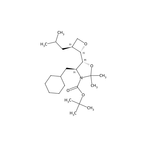 CC(C)C[C@H]1CO[C@@H]1[C@@H]1OC(C)(C)N(C(=O)OC(C)(C)C)[C@H]1CC1CCCCC1